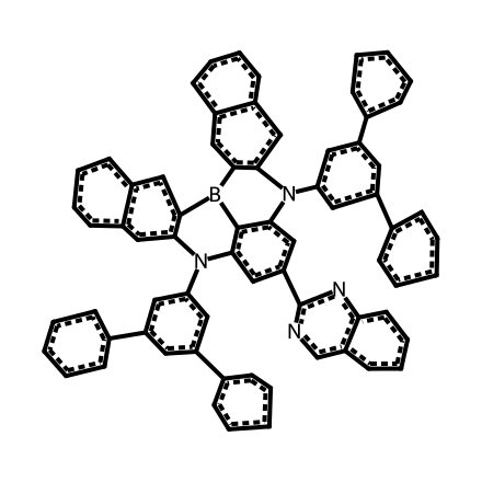 c1ccc(-c2cc(-c3ccccc3)cc(N3c4cc5ccccc5cc4B4c5cc6ccccc6cc5N(c5cc(-c6ccccc6)cc(-c6ccccc6)c5)c5cc(-c6ncc7ccccc7n6)cc3c54)c2)cc1